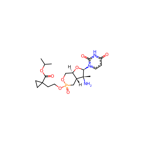 CC(C)OC(=O)C1(CCOP2(=O)C[C@@H]3[C@@H](CO2)O[C@@H](n2ccc(=O)[nH]c2=O)[C@]3(C)N)CC1